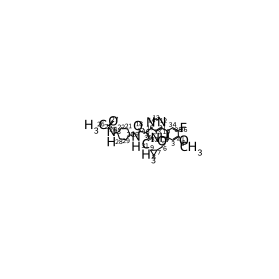 COc1cc(OCC2CC2)c(-c2ncnc3c(C(=O)NC4CCC(NC(C)=O)CC4)c(C)[nH]c23)cc1F